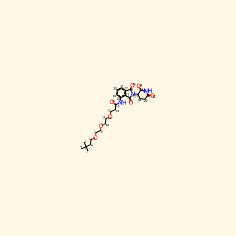 CC(C)(C)CCOCCOCCOCCC(=O)Nc1cccc2c1C(=O)N(C1CCC(=O)NC1=O)C2=O